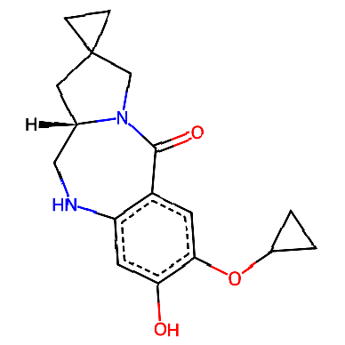 O=C1c2cc(OC3CC3)c(O)cc2NC[C@@H]2CC3(CC3)CN12